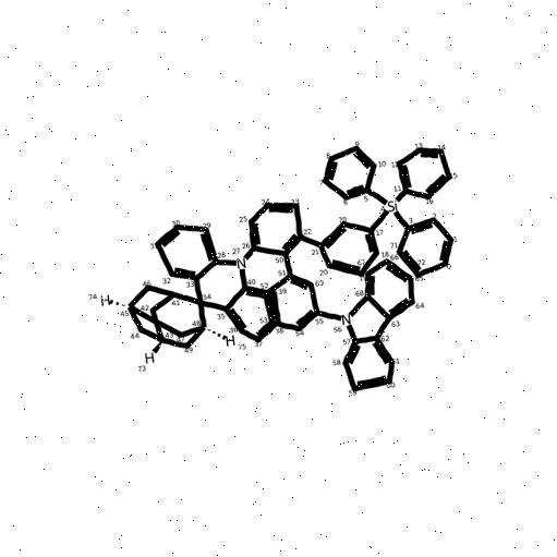 c1ccc([Si](c2ccccc2)(c2ccccc2)c2cccc(-c3cccc(N4c5ccccc5C5(c6ccccc64)C4C[C@H]6C[C@@H](C4)C[C@@H]5C6)c3-c3cccc(-n4c5ccccc5c5ccccc54)c3)c2)cc1